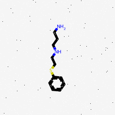 NCCCNCCSc1ccccc1